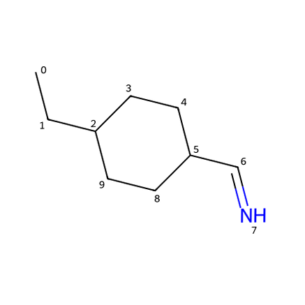 CCC1CCC(C=N)CC1